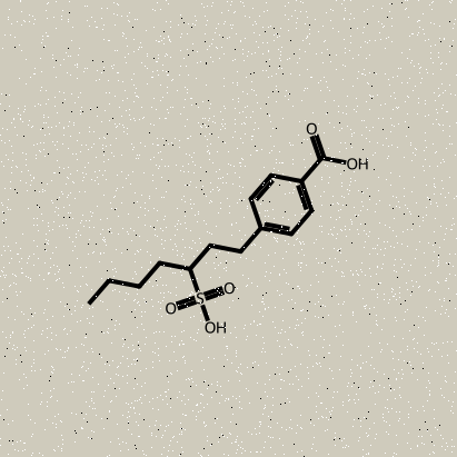 CCCCC(CCc1ccc(C(=O)O)cc1)S(=O)(=O)O